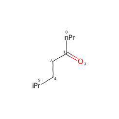 [CH2]CCC(=O)CCC(C)C